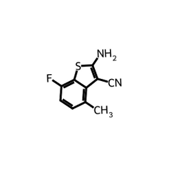 Cc1ccc(F)c2sc(N)c(C#N)c12